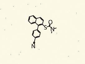 CN(C)C(=O)Sc1ccc2ccccc2c1-c1ccc(C#N)cc1